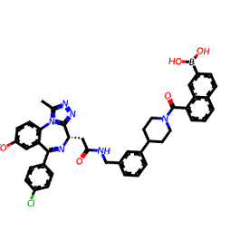 COc1ccc2c(c1)C(c1ccc(Cl)cc1)=N[C@@H](CC(=O)NCc1cccc(C3CCN(C(=O)c4cccc5ccc(B(O)O)cc45)CC3)c1)c1nnc(C)n1-2